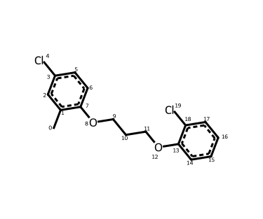 Cc1cc(Cl)ccc1OCCCOc1ccccc1Cl